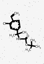 C=Cc1ccc(C(C)(C)NC(=O)OC(C)(C)C)cc1Cl